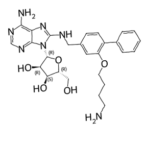 NCCCCOc1cc(CNc2nc3c(N)ncnc3n2[C@@H]2O[C@H](CO)[C@@H](O)[C@H]2O)ccc1-c1ccccc1